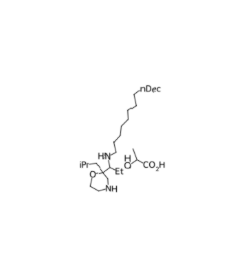 CC(O)C(=O)O.CCCCCCCCCCCCCCCCCCNC(CC)C1(CC(C)C)CNCCO1